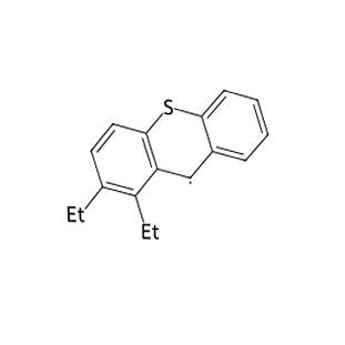 CCc1ccc2c(c1CC)[CH]c1ccccc1S2